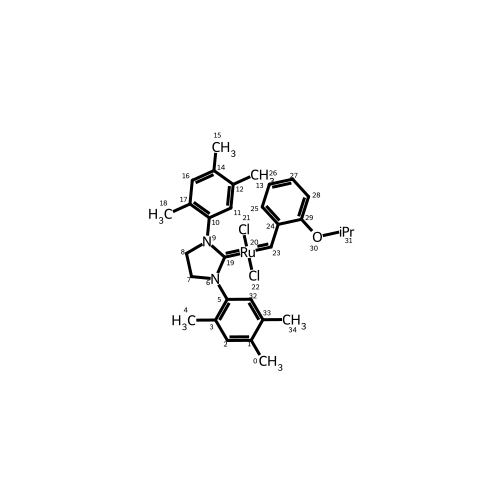 Cc1cc(C)c(N2CCN(c3cc(C)c(C)cc3C)[C]2=[Ru]([Cl])([Cl])=[CH]c2ccccc2OC(C)C)cc1C